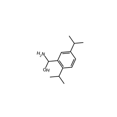 CC(C)c1ccc(C(C)C)c(C(N)O)c1